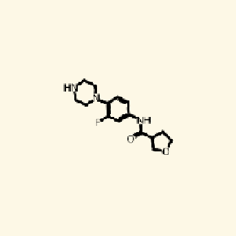 O=C(Nc1ccc(N2CCNCC2)c(F)c1)C1CCOC1